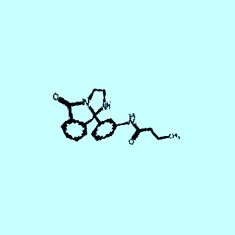 CCCC(=O)Nc1cccc(C23NCCN2C(=O)c2ccccc23)c1